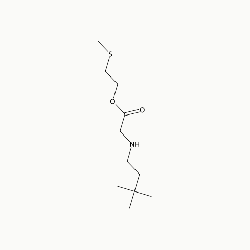 CSCCOC(=O)CNCCC(C)(C)C